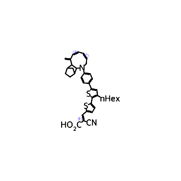 C=C1/C=C\C=C/CN(c2ccc(-c3cc(CCCCCC)c(-c4ccc(/C=C(\C#N)C(=O)O)s4)s3)cc2)C2C3CCC(C3)C12